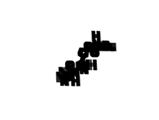 Cn1nncc1C(=O)Nc1cc(C2CCC(OC(=O)NC(C)(C)C)C2)[nH]n1